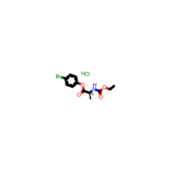 CCOC(=O)N[C@@H](C)C(=O)Oc1ccc(Br)cc1.Cl